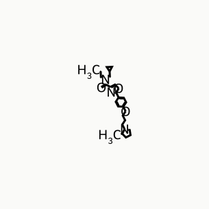 CCCN(CC1CC1)C(=O)c1coc(-c2ccc(OCCCN3CCCC3C)cc2)n1